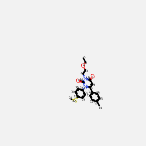 CCOCCn1c(=O)cc(-c2ccc(C)cc2)n(-c2ccc(SC)cc2)c1=O